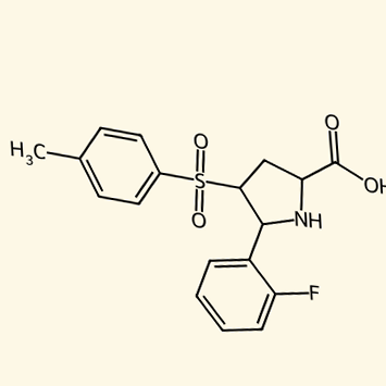 Cc1ccc(S(=O)(=O)C2CC(C(=O)O)NC2c2ccccc2F)cc1